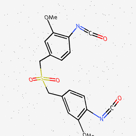 COc1cc(CS(=O)(=O)Cc2ccc(N=C=O)c(OC)c2)ccc1N=C=O